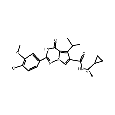 COc1cc(-c2nn3cc(C(=O)N[C@H](C)C4CC4)c(C(C)C)c3c(=O)[nH]2)ccc1Cl